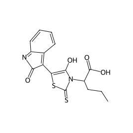 CCCC(C(=O)O)n1c(O)c(C2=c3ccccc3=NC2=O)sc1=S